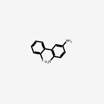 Nc1ccc(N)c(-c2ccccc2F)c1